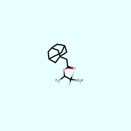 O=C(CC12CC3CC(CC(C3)C1)C2)OC(C(F)(F)F)C(F)(F)S(=O)(=O)O